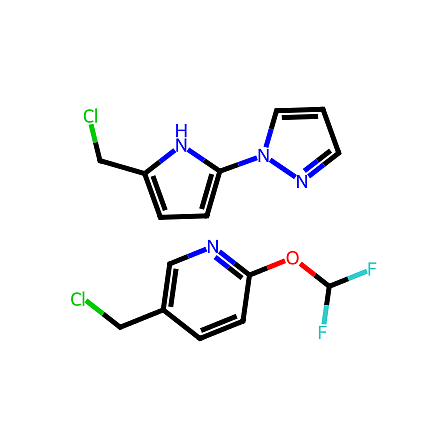 ClCc1ccc(-n2cccn2)[nH]1.FC(F)Oc1ccc(CCl)cn1